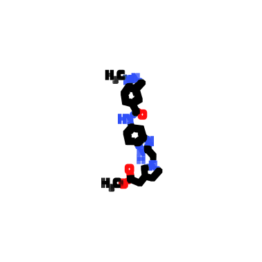 COC(=O)CC1CCN(Cc2nc3cc(NC(=O)c4ccc5c(cnn5C)c4)ccc3[nH]2)C1